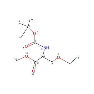 CCOCC(NC(=O)OC(C)(C)C)C(=O)OC